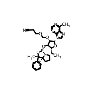 CC[C@H]1O[C@@H](n2cnc3c(C)ncnc32)[C@@H](OCOCCC#N)C1O[P@]1O[C@@](C)(c2ccccc2)[C@H]2CCCN21